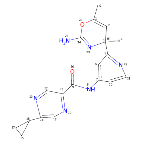 CC1=C[C@@](C)(c2cc(NC(=O)c3cnc(C4CC4)cn3)ccn2)N=C(N)O1